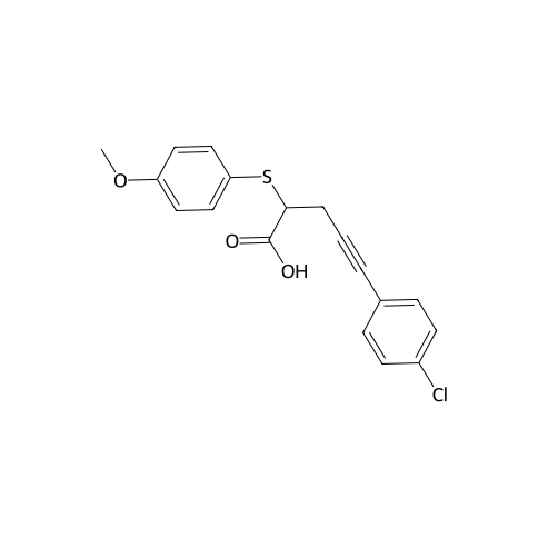 COc1ccc(SC(CC#Cc2ccc(Cl)cc2)C(=O)O)cc1